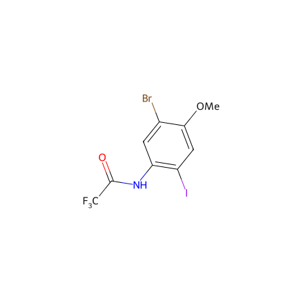 COc1cc(I)c(NC(=O)C(F)(F)F)cc1Br